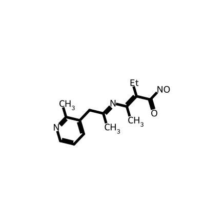 CC/C(C(=O)N=O)=C(C)\N=C(/C)Cc1cccnc1C